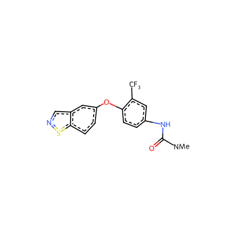 CNC(=O)Nc1ccc(Oc2ccc3sncc3c2)c(C(F)(F)F)c1